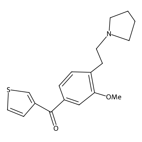 COc1cc(C(=O)c2ccsc2)ccc1CCN1CCCC1